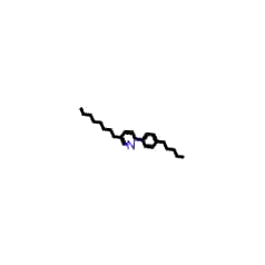 CCCCCCCCc1ccc(-c2ccc(CCCCC)cc2)nc1